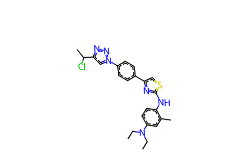 CCN(CC)c1ccc(Nc2nc(-c3ccc(-n4cc(C(C)Cl)nn4)cc3)cs2)c(C)c1